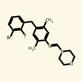 Cc1cc(N=CN2CCOCC2)c(C)cc1Cc1cccc(Br)c1F